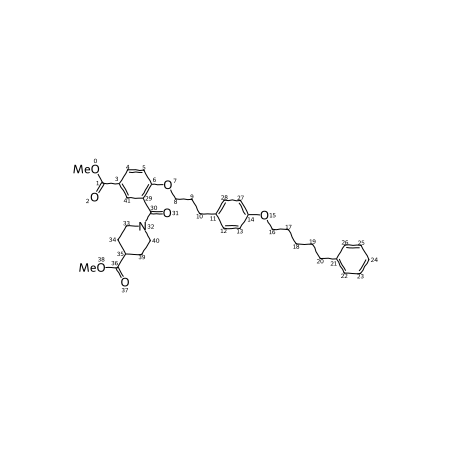 COC(=O)c1ccc(OCCCc2ccc(OCCCCCc3ccccc3)cc2)c(C(=O)N2CCC(C(=O)OC)CC2)c1